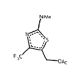 CNc1nc(C(F)(F)F)c(COC(C)=O)s1